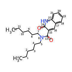 CCCCCCN(CCCCCC)C(=O)c1cc2ccccc2[nH]c1=O